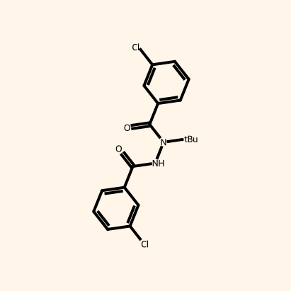 CC(C)(C)N(NC(=O)c1cccc(Cl)c1)C(=O)c1cccc(Cl)c1